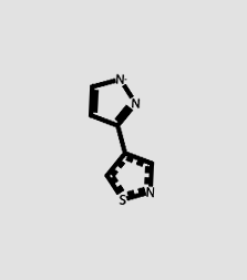 C1=CC(c2cnsc2)=N[N]1